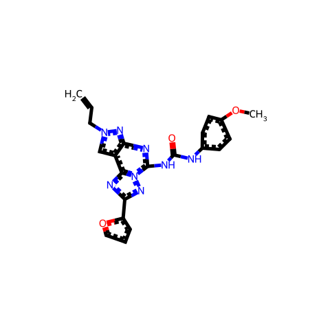 C=CCn1cc2c(nc(NC(=O)Nc3ccc(OC)cc3)n3nc(-c4ccco4)nc23)n1